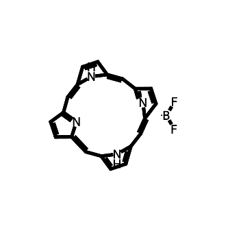 C1=Cc2cc3ccc(cc4nc(cc5ccc(cc1n2)[nH]5)C=C4)[nH]3.F[B]F